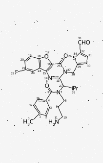 Cc1ccc(C(=O)N(CCCN)C(c2nc3c(oc4ccc(F)cc43)c(=O)n2Cc2ccc(C=O)s2)C(C)C)cc1